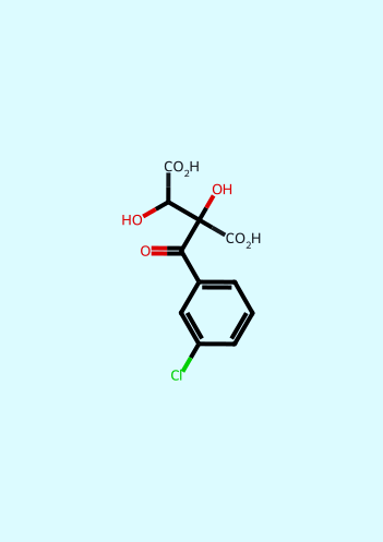 O=C(O)C(O)C(O)(C(=O)O)C(=O)c1cccc(Cl)c1